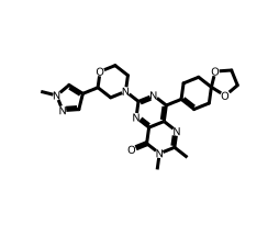 Cc1nc2c(C3=CCC4(CC3)OCCO4)nc(N3CCOC(c4cnn(C)c4)C3)nc2c(=O)n1C